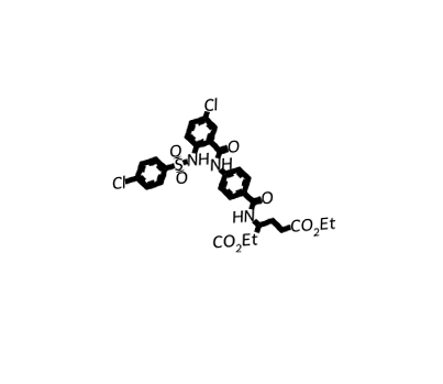 CCOC(=O)CCC(NC(=O)c1ccc(NC(=O)c2cc(Cl)ccc2NS(=O)(=O)c2ccc(Cl)cc2)cc1)C(=O)OCC